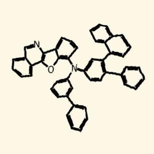 c1ccc(-c2cccc(N(c3ccc(-c4ccccc4)c(-c4cccc5ccccc45)c3)c3cccc4c3oc3c5ccccc5cnc43)c2)cc1